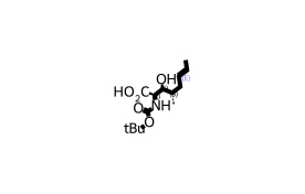 C/C=C/C[C@H](C)[C@H](O)[C@@H](NC(=O)OC(C)(C)C)C(=O)O